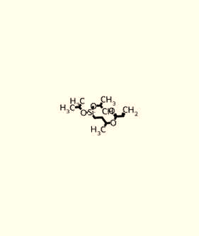 C=CC(=O)OC(C)CC[Si](OC(C)C)OC(C)C